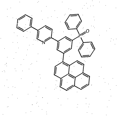 O=P(c1ccccc1)(c1ccccc1)c1cc(-c2ccc(-c3ccccc3)cn2)cc(-c2ccc3ccc4cccc5ccc2c3c45)c1